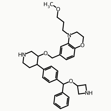 COCCCN1CCOc2ccc(COC3CNCCC3c3ccc(C(OC4CNC4)c4ccccc4)cc3)cc21